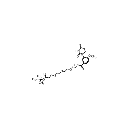 COc1ccc(C(=O)NCCOCCOCCOCCC(=O)OC(C)(C)C)cc1N1CCC(=O)NC1=O